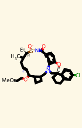 CC[C@@H]1C(C)C/C=C/C(OCCOC)C2CCC2CN2CC3(CCCc4cc(Cl)ccc43)COc3ccc(cc32)C(=O)N[S+]1[O-]